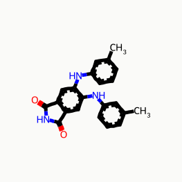 Cc1cccc(Nc2cc3c(cc2Nc2cccc(C)c2)C(=O)NC3=O)c1